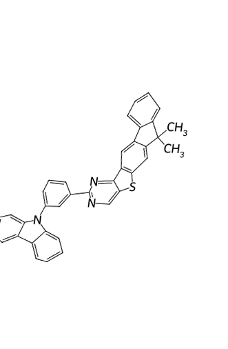 CC1(C)c2ccccc2-c2cc3c(cc21)sc1cnc(-c2cccc(-n4c5ccccc5c5ccccc54)c2)nc13